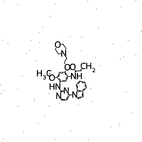 C=CC(=O)Nc1cc(Nc2nccc(-n3ccc4ccccc43)n2)c(OC)cc1OCCN1CCOCC1